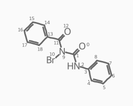 O=C(Nc1[c]cccc1)N(Br)C(=O)c1ccccc1